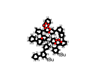 Cc1cc(-c2cccc3c2oc2ccccc23)c(-c2ccc3c(c2)N(c2cc(-c4ccccc4)cc(-c4ccccc4)c2)c2cc(-n4c5ccccc5c5ccccc54)cc4c2B3c2ccc(-c3cc(-c5ccccc5)cc(C(C)(C)C)c3)cc2N4c2ccc(C(C)(C)C)cc2-c2ccccc2)c(-n2c3ccccc3c3ccccc32)c1